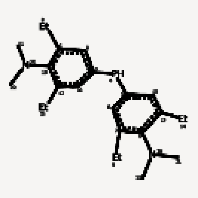 CCc1cc(Pc2cc(CC)c(N(C)C)c(CC)c2)cc(CC)c1N(C)C